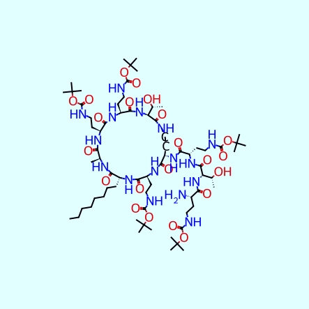 CCCCCCCC[C@H]1NC(=O)[C@H](CCNC(=O)OC(C)(C)C)NC(=O)[C@@H](NC(=O)[C@H](CCNC(=O)OC(C)(C)C)NC(=O)[C@@H](NC(=O)[C@@H](N)CCNC(=O)OC(C)(C)C)[C@@H](C)O)CCNC(=O)[C@H]([C@@H](C)O)NC(=O)[C@H](CCNC(=O)OC(C)(C)C)NC(=O)[C@H](CCNC(=O)OC(C)(C)C)NC(=O)[C@H](C)NC1=O